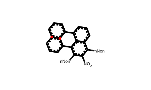 CCCCCCCCCc1c([N+](=O)[O-])c(CCCCCCCCC)c2cccc(-c3ccccc3)c2c1-c1ccccc1